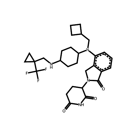 O=C1CCC(N2Cc3c(cccc3N(CC3CCC3)C3CCC(NCC4(C(F)(F)F)CC4)CC3)C2=O)C(=O)N1